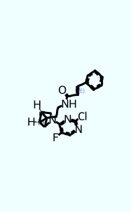 O=C(/C=C/c1ccccc1)NCCC12C3[C@H]1[C@H]2CN3c1nc(Cl)ncc1F